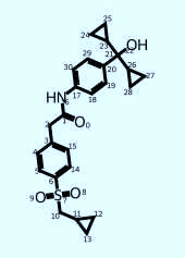 O=C(Cc1ccc(S(=O)(=O)CC2CC2)cc1)Nc1ccc(C(O)(C2CC2)C2CC2)cc1